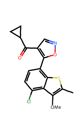 COc1c(C)sc2c(-c3oncc3C(=O)C3CC3)ccc(Cl)c12